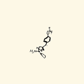 NC(=O)n1cc([CH]c2ccc(OC(F)F)cc2)cn1